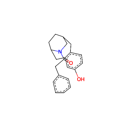 O=C(Cc1ccccc1)N1CC2CCC1Cc1cc(O)ccc1C2